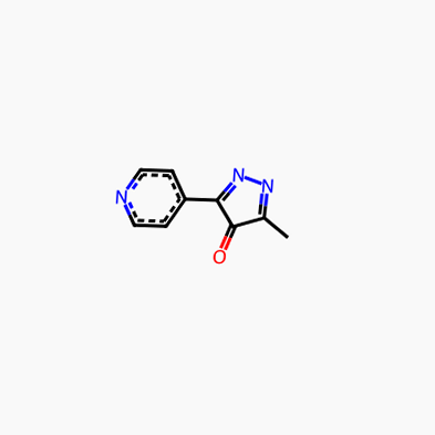 CC1=NN=C(c2ccncc2)C1=O